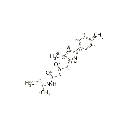 CCC(C)NC(=O)CC(=O)Cc1nc(-c2ccc(C)cc2)oc1C